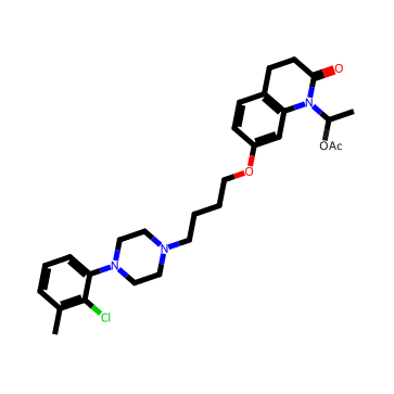 CC(=O)OC(C)N1C(=O)CCc2ccc(OCCCCN3CCN(c4cccc(C)c4Cl)CC3)cc21